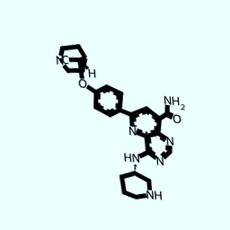 NC(=O)c1cc(-c2ccc(O[C@@H]3CN4CCC3CC4)cc2)nc2c(N[C@H]3CCCNC3)ncnc12